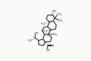 C[C@H](O)C1CC[C@]2(C(=O)O)CC[C@]3(C)C(CCC4[C@@]5(C)CC[C@H](O)C(C)(C)C5CC[C@]43C)C12